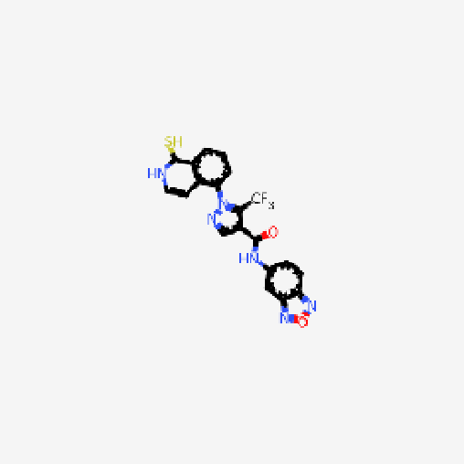 O=C(Nc1ccc2nonc2c1)c1cnn(-c2cccc3c2C=CNC3S)c1C(F)(F)F